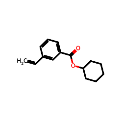 C=Cc1cccc(C(=O)OC2CCCCC2)c1